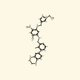 Cc1c(COc2cc(OCc3cnn(CC#N)c3)c(C=O)cc2Cl)cccc1-c1ccc2c(c1)OCCO2